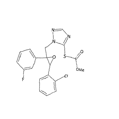 COC(=O)Sc1ncnn1CC1(c2cccc(F)c2)OC1c1ccccc1Cl